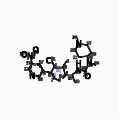 C=C(/C(C)=C(Cl)\C(=C/C)c1cncc([N+](=O)[O-])c1)C(C)NC(=O)N(C)C1CCN(C)CC1